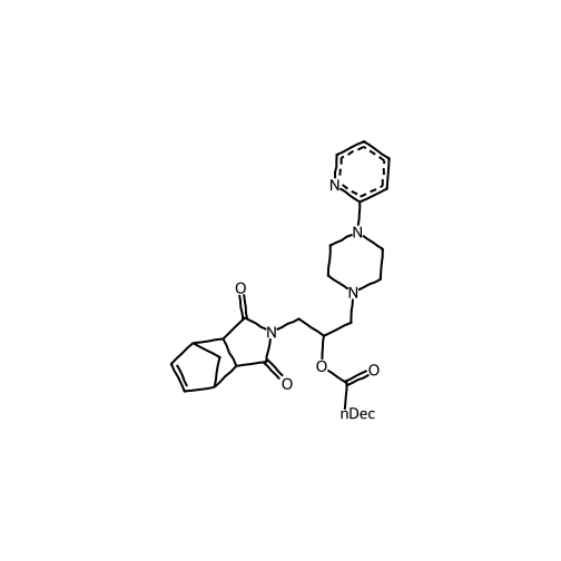 CCCCCCCCCCC(=O)OC(CN1CCN(c2ccccn2)CC1)CN1C(=O)C2C3C=CC(C3)C2C1=O